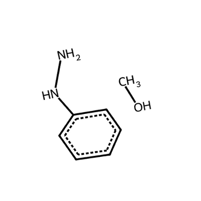 CO.NNc1ccccc1